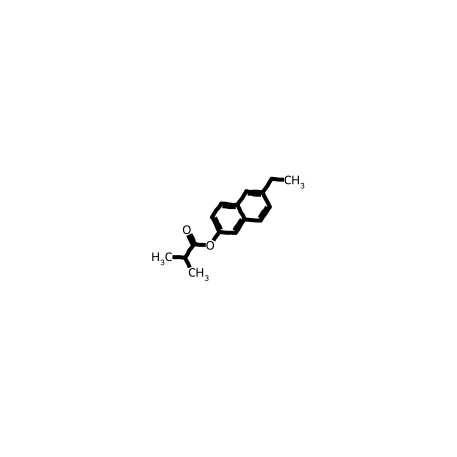 CCc1ccc2cc(OC(=O)C(C)C)ccc2c1